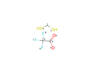 SCS.[O]C(=O)C(F)(F)F